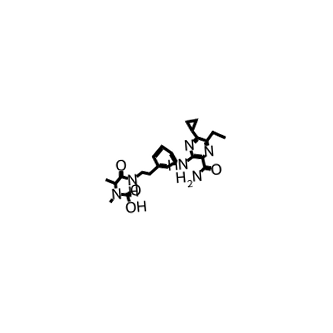 CCc1nc(C(N)=O)c(Nc2cccc(CCNC(=O)C(C)N(C)C(=O)O)c2)nc1C1CC1